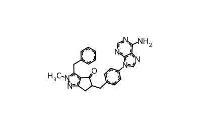 Cn1nc2c(c1Cc1ccccc1)C(=O)C(Cc1ccc(-n3cnc4c(N)ncnc43)cc1)C2